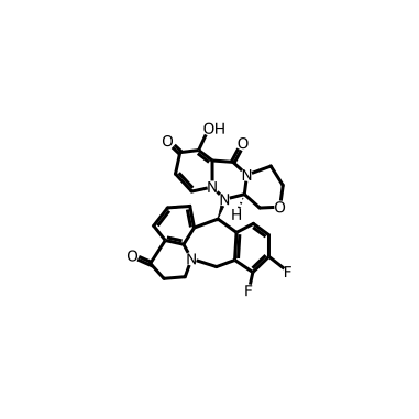 O=C1CCN2Cc3c(ccc(F)c3F)[C@H](N3[C@@H]4COCCN4C(=O)c4c(O)c(=O)ccn43)c3cccc1c32